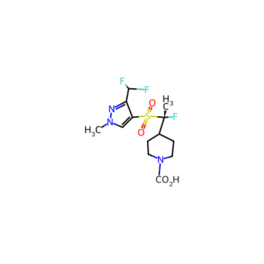 Cn1cc(S(=O)(=O)[C@](C)(F)C2CCN(C(=O)O)CC2)c(C(F)F)n1